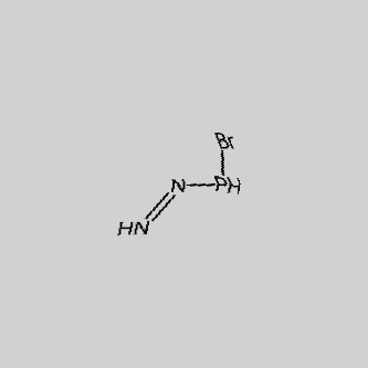 N=NPBr